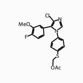 COc1cc(-c2c(Cl)ncn2-c2ccc(SCOC(C)=O)cc2)ccc1F